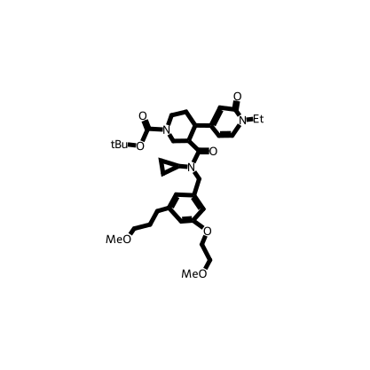 CCn1ccc(C2CCN(C(=O)OC(C)(C)C)CC2C(=O)N(Cc2cc(CCCOC)cc(OCCOC)c2)C2CC2)cc1=O